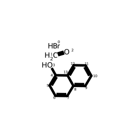 Br.C=O.Oc1cccc2ccccc12